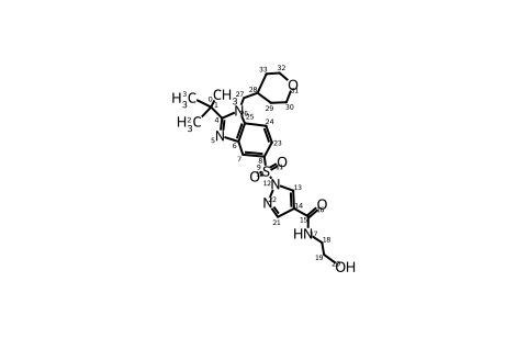 CC(C)(C)c1nc2cc(S(=O)(=O)n3cc(C(=O)NCCO)cn3)ccc2n1CC1CCOCC1